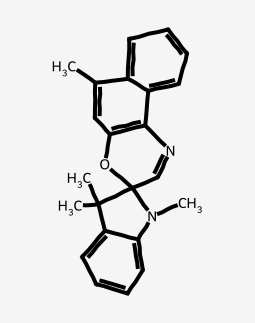 Cc1cc2c(c3ccccc13)N=CC1(O2)N(C)c2ccccc2C1(C)C